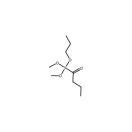 CCCO[Si](OC)(OC)C(=O)CCC